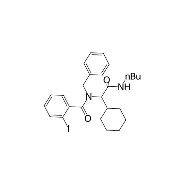 CCCCNC(=O)C(C1CCCCC1)N(Cc1ccccc1)C(=O)c1ccccc1I